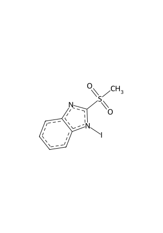 CS(=O)(=O)c1nc2ccccc2n1I